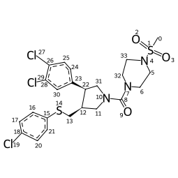 CS(=O)(=O)N1CCN(C(=O)N2C[C@@H](CSc3ccc(Cl)cc3)[C@@H](c3ccc(Cl)c(Cl)c3)C2)CC1